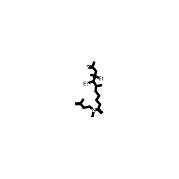 C=C(C)CCN(C)C(=C)CCCCC(C)C(CC)C(C)(CC)CC(C)=S